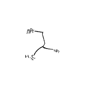 C[CH]CCC(C)CCC